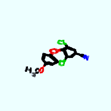 COc1ccc(Oc2c(Cl)cc(C#N)cc2Cl)cc1